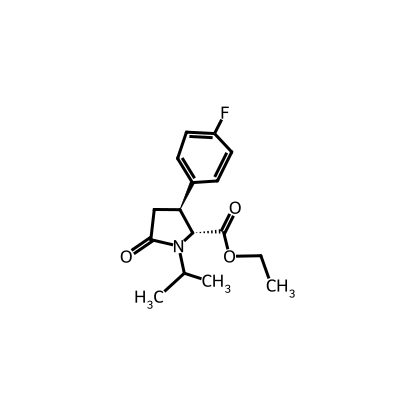 CCOC(=O)[C@H]1[C@H](c2ccc(F)cc2)CC(=O)N1C(C)C